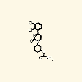 NC(=O)OC1CCCC(n2ccc(-c3cccc(Cl)c3Cl)nc2=O)C1